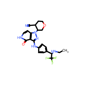 CCNC(c1ccc(Nc2nn(C3COCCC3C#N)c3cc[nH]c(=O)c23)cc1)C(F)(F)F